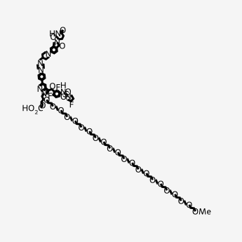 COCCOCCOCCOCCOCCOCCOCCOCCOCCOCCOCCOCCOCCOCCOCCOCCOCCOCCOCCOCCOCCOC(COC(=O)O)Cn1cc(C(=O)c2c(F)ccc(NS(=O)(=O)N3CC[C@@H](F)C3)c2F)c2cc(-c3ccc(N4CCN(CC5CCN(c6ccc7c(c6)CN(C6CCC(=O)NC6=O)C7=O)CC5)CC4)cc3)cnc21